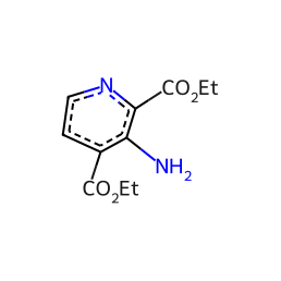 CCOC(=O)c1ccnc(C(=O)OCC)c1N